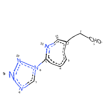 O=[C]Cc1ccc(-n2cnnn2)nc1